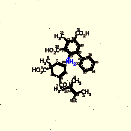 CC1(C(=O)O)C=CC=C(C(=O)O)C1.CCC(C)=C(C)[SiH3].Cc1c(C(=O)O)cc(-c2ccccc2)c(N)c1C(=O)O